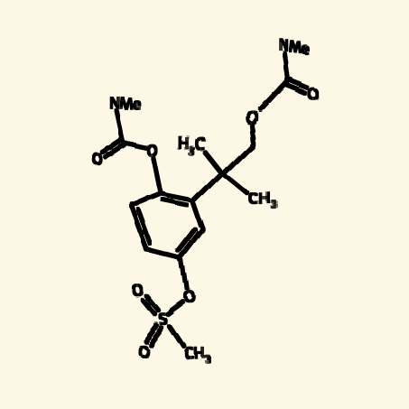 CNC(=O)OCC(C)(C)c1cc(OS(C)(=O)=O)ccc1OC(=O)NC